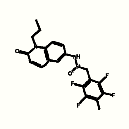 CCCn1c(=O)ccc2cc(N[S+]([O-])Cc3c(F)c(F)c(C)c(F)c3F)ccc21